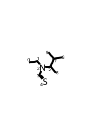 CCN(C=S)C(C)C(C)C